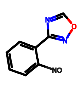 O=Nc1ccccc1-c1ncon1